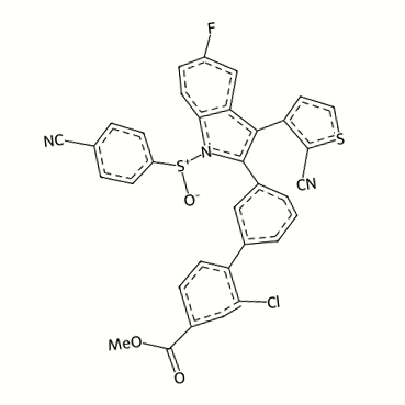 COC(=O)c1ccc(-c2cccc(-c3c(-c4ccsc4C#N)c4cc(F)ccc4n3[S+]([O-])c3ccc(C#N)cc3)c2)c(Cl)c1